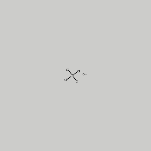 [Cl][Ti]([Cl])([Cl])[Cl].[Cu]